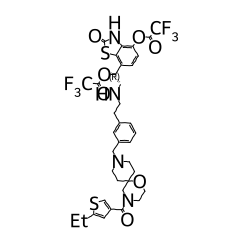 CCc1cc(C(=O)N2CCOC3(CCN(Cc4cccc(CCNC[C@H](OC(=O)C(F)(F)F)c5ccc(OC(=O)C(F)(F)F)c6[nH]c(=O)sc56)c4)CC3)C2)cs1